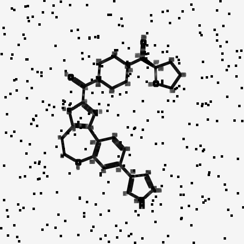 O=C(c1nc2c(s1)CCOc1cc(-c3cn[nH]c3)ccc1-2)N1CCN(C(=O)[C@H]2CCCO2)CC1